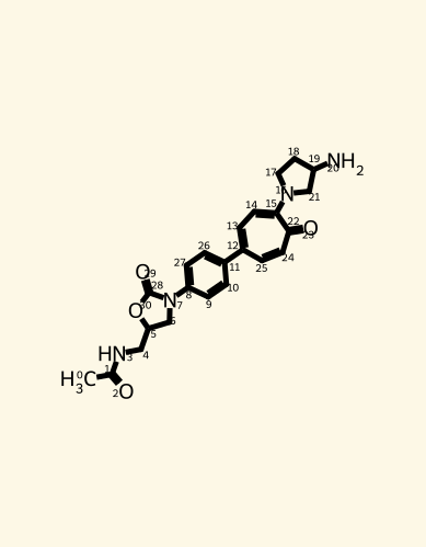 CC(=O)NCC1CN(c2ccc(-c3ccc(N4CCC(N)C4)c(=O)cc3)cc2)C(=O)O1